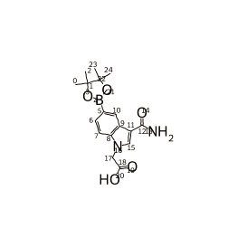 CC1(C)OB(c2ccc3c(c2)c(C(N)=O)cn3CC(=O)O)OC1(C)C